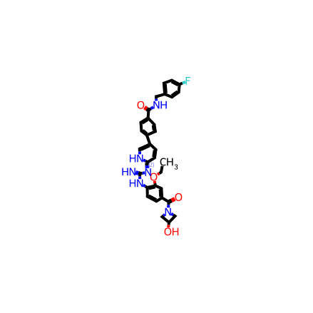 CCOc1cc(C(=O)N2CC(O)C2)ccc1NC(=N)/N=c1/ccc(-c2ccc(C(=O)NCc3ccc(F)cc3)cc2)c[nH]1